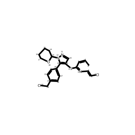 C\C=C/C(=N\C=C\Cl)Sc1cnn(C2CCCCO2)c1-c1ccc(CCl)cc1